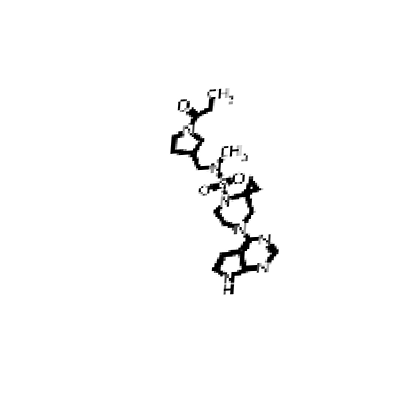 CCC(=O)N1CCC(CN(C)S(=O)(=O)N2CCN(c3ncnc4[nH]ccc34)CC23CC3)C1